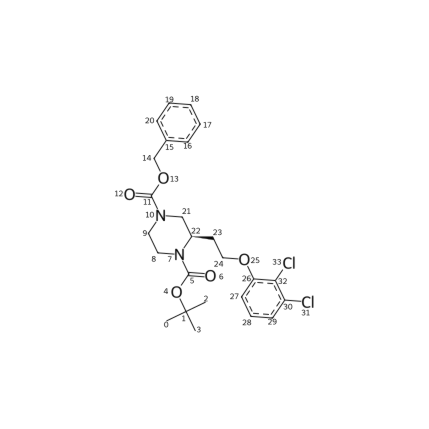 CC(C)(C)OC(=O)N1CCN(C(=O)OCc2ccccc2)C[C@H]1CCOc1cccc(Cl)c1Cl